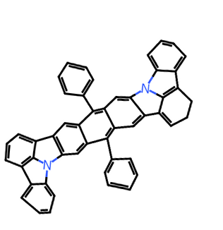 C1=c2c3cc4c(-c5ccccc5)c5cc6c(cc5c(-c5ccccc5)c4cc3n3c2c(c2ccccc23)CC1)c1cccc2c3ccccc3n6c21